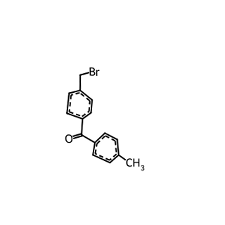 Cc1ccc(C(=O)c2ccc(CBr)cc2)cc1